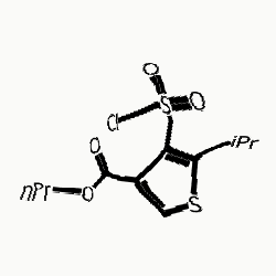 CCCOC(=O)c1csc(C(C)C)c1S(=O)(=O)Cl